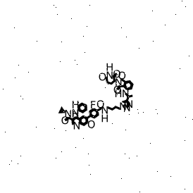 COc1cc2ncc(C(=O)NC3CC3)c(Nc3ccccc3)c2cc1-c1ccc(C(=O)NCCCCn2cc(C(C)Nc3cccc4c3C(=O)N(C3CCC(=O)NC3=O)C4=O)nn2)c(F)c1